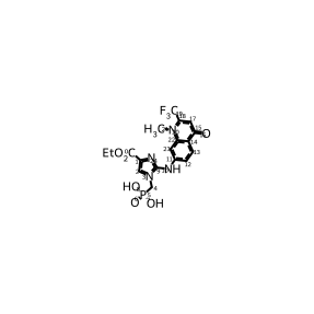 CCOC(=O)c1cn(CP(=O)(O)O)c(Nc2ccc3c(=O)cc(C(F)(F)F)n(C)c3c2)n1